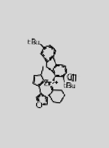 CC1C=CC(c2ccoc2)=[C]1[Zr+2](=[C]1CCCCC1)[c]1c(C(C)(C)C)ccc2c1Cc1cc(C(C)(C)C)ccc1-2.[Cl-].[Cl-]